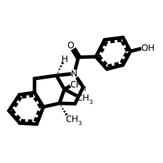 CC1(C)[C@H]2Cc3ccccc3[C@]1(C)CCN2C(=O)c1ccc(O)cc1